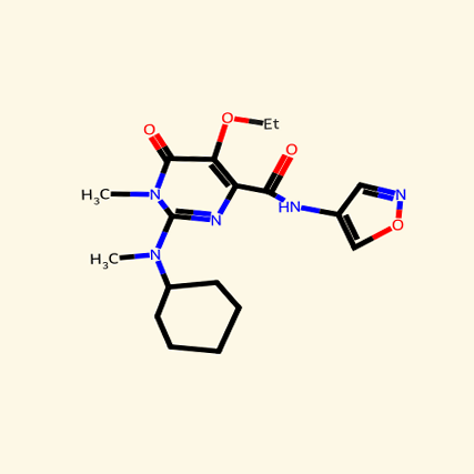 CCOc1c(C(=O)Nc2cnoc2)nc(N(C)C2CCCCC2)n(C)c1=O